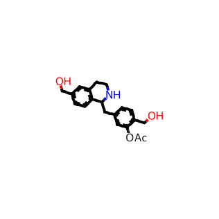 CC(=O)Oc1cc(CC2NCCc3cc(CO)ccc32)ccc1CO